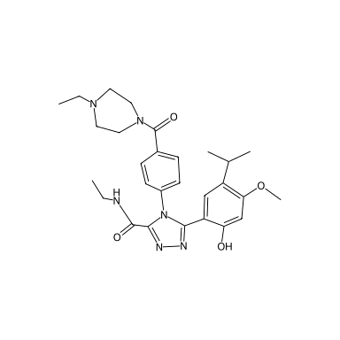 CCNC(=O)c1nnc(-c2cc(C(C)C)c(OC)cc2O)n1-c1ccc(C(=O)N2CCN(CC)CC2)cc1